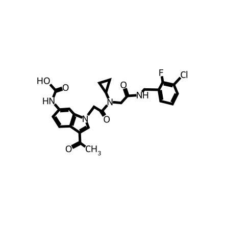 CC(=O)c1cn(CC(=O)N(CC(=O)NCc2cccc(Cl)c2F)C2CC2)c2cc(NC(=O)O)ccc12